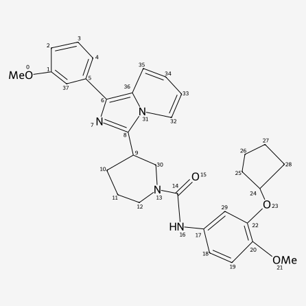 COc1cccc(-c2nc(C3CCCN(C(=O)Nc4ccc(OC)c(OC5CCCC5)c4)C3)n3ccccc23)c1